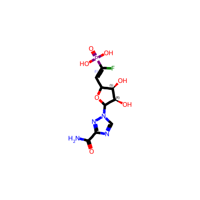 NC(=O)c1ncn(C2OC(/C=C(\F)P(=O)(O)O)[C@@H](O)[C@H]2O)n1